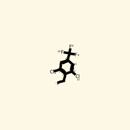 [CH2]Cc1c(Cl)cc(C(F)(F)F)cc1Cl